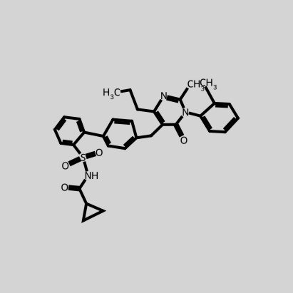 CCCc1nc(C)n(-c2ccccc2C)c(=O)c1Cc1ccc(-c2ccccc2S(=O)(=O)NC(=O)C2CC2)cc1